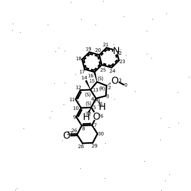 CO[C@@H]1C[C@H]2[C@@H]3OC4=C(C=C3C=C[C@]2(C)[C@H]1c1cccc2cnccc12)C(=O)CCC4